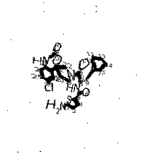 Nc1ccc(C(=O)N[C@@H](Cc2ccccc2)C(=O)N2CCC3(C2)OC(=O)Nc2ccc(Cl)cc23)s1